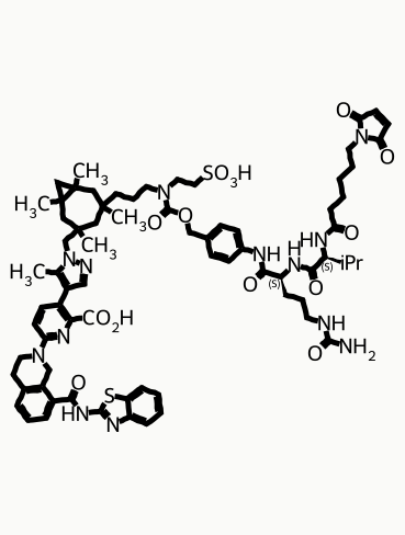 Cc1c(-c2ccc(N3CCc4cccc(C(=O)Nc5nc6ccccc6s5)c4C3)nc2C(=O)O)cnn1CC1(C)CC(C)(CCCN(CCS(=O)(=O)O)C(=O)OCc2ccc(NC(=O)[C@H](CCCNC(N)=O)NC(=O)[C@@H](NC(=O)CCCCCN3C(=O)C=CC3=O)C(C)C)cc2)CC2(C)CC2(C)C1